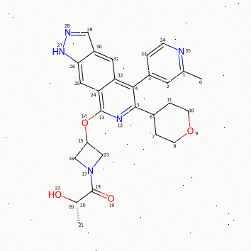 Cc1cc(-c2c(C3CCOCC3)nc(OC3CN(C(=O)[C@H](C)O)C3)c3cc4[nH]ncc4cc23)ccn1